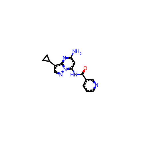 Nc1cc(NC(=O)c2cccnc2)n2ncc(C3CC3)c2n1